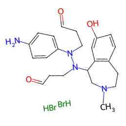 Br.Br.CN1CCc2ccc(O)cc2C(N(CCC=O)N(CCC=O)c2ccc(N)cc2)C1